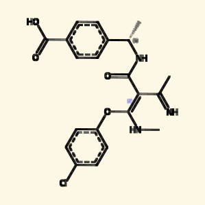 CN/C(Oc1ccc(Cl)cc1)=C(\C(C)=N)C(=O)N[C@@H](C)c1ccc(C(=O)O)cc1